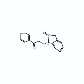 O=C(CN[C@H]1c2ccccc2C[C@@H]1O)c1ccccc1